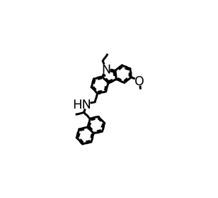 CCn1c2ccc(CNC(C)c3cccc4ccccc34)cc2c2cc(OC)ccc21